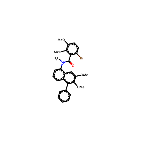 COc1ccc(Br)c(C(=O)N(C)c2cccc3c(-c4ccccc4)c(OC)c(OC)cc23)c1OC